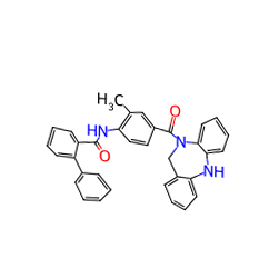 Cc1cc(C(=O)N2Cc3ccccc3Nc3ccccc32)ccc1NC(=O)c1ccccc1-c1ccccc1